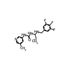 CSC(NCc1cc(F)c(F)c(F)c1)NC(=O)Nc1cncc(C)c1